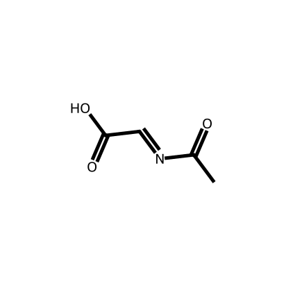 CC(=O)/N=C/C(=O)O